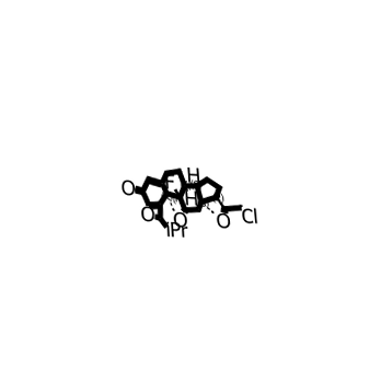 CC(C)C1OC2=C1[C@@]1(C)C(=CC2=O)CC[C@H]2[C@@H]3CC[C@@H](C(=O)CCl)[C@@]3(C)CC(=O)[C@@]21F